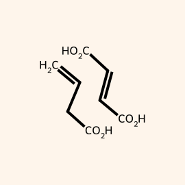 C=CCC(=O)O.O=C(O)C=CC(=O)O